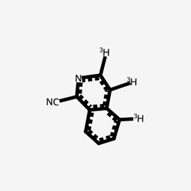 [3H]c1nc(C#N)c2cccc([3H])c2c1[3H]